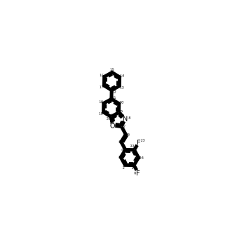 Fc1ccc(/C=C/c2nc3cc(-c4ccccc4)ccc3o2)c(F)c1